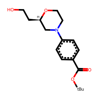 CC(C)(C)OC(=O)c1ccc(N2CCO[C@H](CCO)C2)cc1